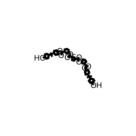 CC(C)(c1ccc(O)cc1)c1ccc(OC(=O)c2cccc(OC(=O)c3ccc(C(=O)Oc4cccc(C(=O)Oc5ccc(C(C)(C)c6ccc(O)cc6)cc5)c4)s3)c2)cc1